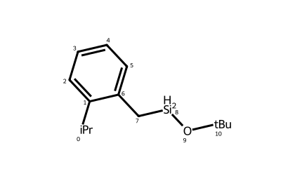 CC(C)c1ccccc1C[SiH2]OC(C)(C)C